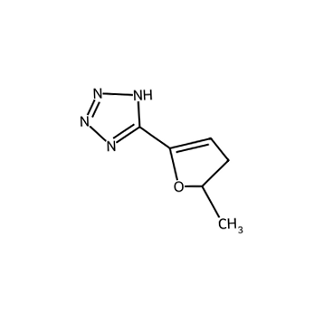 CC1CC=C(c2nnn[nH]2)O1